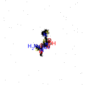 CC=CON=C(C(=O)N[C@@H]1C(=O)N2C(C(=O)O)=C(C=CC[n+]3cccc4ccsc43)SC[C@H]12)c1csc(N)n1